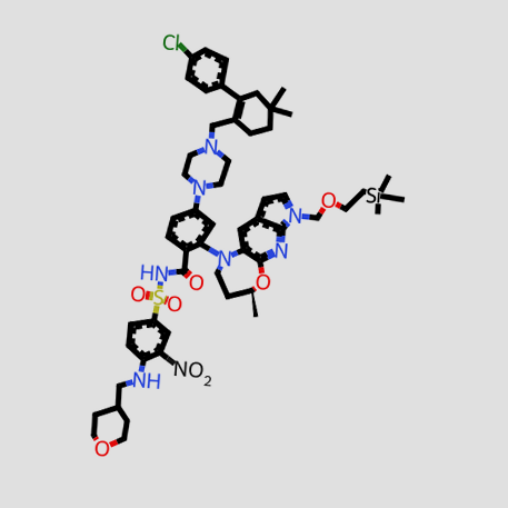 C[C@H]1CCN(c2cc(N3CCN(CC4=C(c5ccc(Cl)cc5)CC(C)(C)CC4)CC3)ccc2C(=O)NS(=O)(=O)c2ccc(NCC3CCOCC3)c([N+](=O)[O-])c2)c2cc3ccn(COCC[Si](C)(C)C)c3nc2O1